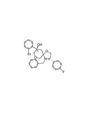 CCc1ccccc1[C@@]1(O)COCC2(C1)OC[C@H](c1ccc(F)cc1)N2Cc1ccccc1